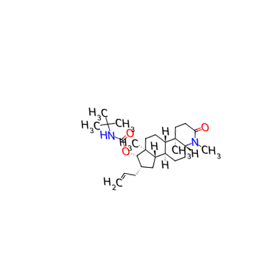 C=CC[C@H]1C[C@H]2[C@@H]3CC[C@H]4N(C)C(=O)CC[C@]4(C)[C@H]3CC[C@]2(C)[C@H]1OC(=O)NC(C)(C)C